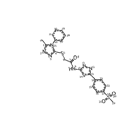 Cc1nnc(SCC(=O)Nc2nnc(-c3ccc(S(C)(=O)=O)cc3)s2)n1-c1ccccc1